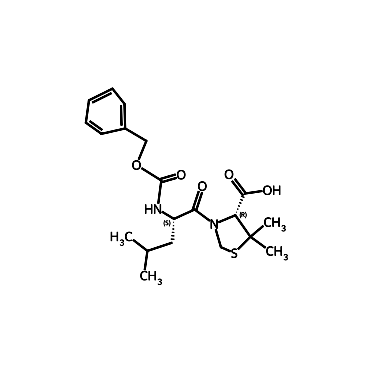 CC(C)C[C@H](NC(=O)OCc1ccccc1)C(=O)N1CSC(C)(C)[C@H]1C(=O)O